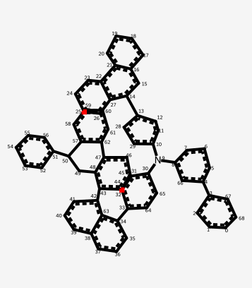 c1ccc(-c2cccc(N(c3ccc(-c4cc5ccccc5c5ccccc45)cc3)c3ccc(-c4cccc5cccc(-c6cccc7c6CC(c6ccccc6)c6ccccc6-7)c45)cc3)c2)cc1